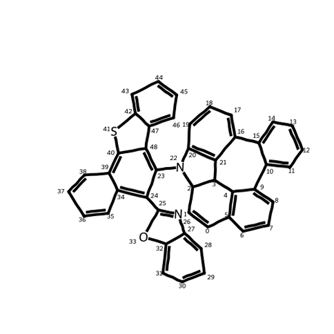 C1=CC2C3c4c1cccc4-c1ccccc1-c1cccc(c13)N2c1c(-c2nc3ccccc3o2)c2ccccc2c2sc3ccccc3c12